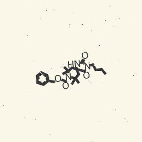 CCCCN1C(=O)NC2(CC(C)(C)N(C(=O)OCc3ccccc3)C(C)(C)C2)C1=O